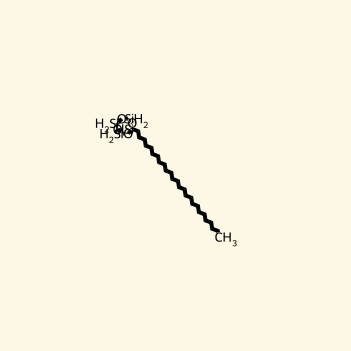 CCCCCCCCCCCCCCCCCCCCCCCCCC[SiH]1O[SiH2]O[SiH2]O[SiH2]O1